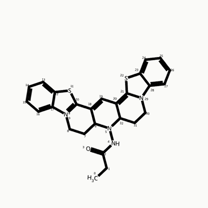 CCC(=O)NN1C2CC[n+]3c(sc4ccccc43)C2=CC2=C3Sc4ccccc4N3CCC21